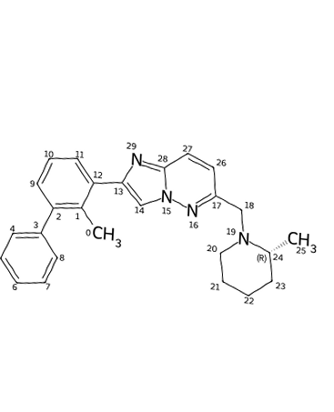 Cc1c(-c2ccccc2)cccc1-c1cn2nc(CN3CCCC[C@H]3C)ccc2n1